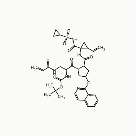 C=CC(=O)NCC(NC(=O)OC(C)(C)C)C(=O)N1CC(Oc2nccc3ccccc23)CC1C(=O)NC1(C(=O)NS(=O)(=O)C2CC2)CC1C=C